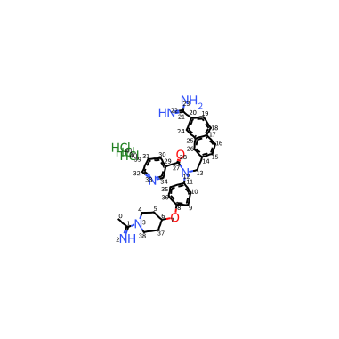 CC(=N)N1CCC(Oc2ccc(N(Cc3ccc4ccc(C(=N)N)cc4c3)C(=O)c3cccnc3)cc2)CC1.Cl.Cl.Cl